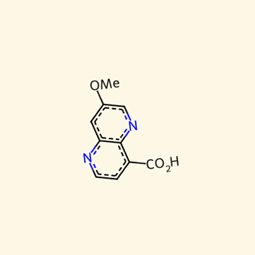 COc1cnc2c(C(=O)O)ccnc2c1